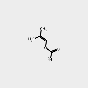 [2H]C(=O)OC=C(C)C